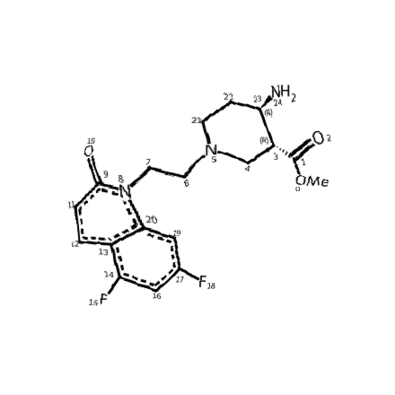 COC(=O)[C@@H]1CN(CCn2c(=O)ccc3c(F)cc(F)cc32)CC[C@H]1N